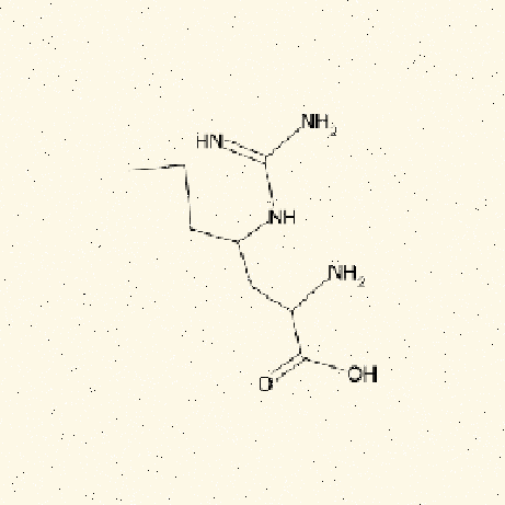 CCCC(CC(N)C(=O)O)NC(=N)N